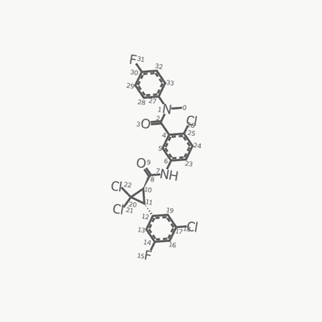 CN(C(=O)c1cc(NC(=O)[C@H]2[C@H](c3cc(F)cc(Cl)c3)C2(Cl)Cl)ccc1Cl)c1ccc(F)cc1